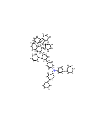 c1ccc(-c2ccc(N(c3ccc(-c4ccccc4)cc3)c3ccc(-c4ccc(-c5c6c(c7ccccc7c5-c5ccccc5)C(c5ccccc5)(c5ccccc5)c5ccccc5-6)cc4)cc3)cc2)cc1